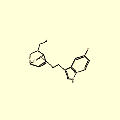 CCC1CC2C=CC1N(CCc1c[nH]c3ccc(Br)cc13)C2